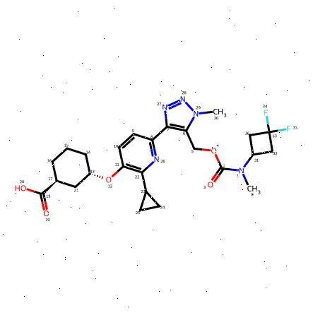 CN(C(=O)OCc1c(-c2ccc(O[C@H]3CCC[C@H](C(=O)O)C3)c(C3CC3)n2)nnn1C)C1CC(F)(F)C1